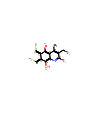 CC(C)c1c(CBr)c(Br)nc2c(O)c(=CF)c(=CF)c(O)c12